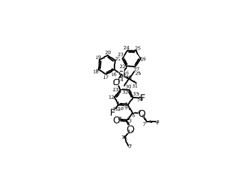 CCOC(=O)C(OCC)c1c(F)cc(O[Si](c2ccccc2)(c2ccccc2)C(C)(C)C)cc1F